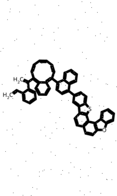 C=Cc1ccccc1C(=C)c1ccccccc(-c2ccc(-c3ccc4sc5c(ccc6ccc7oc8ccccc8c7c65)c4c3)c3ccccc23)c2ccccc12